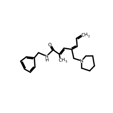 C=C/C=C(\C=C(/C)C(=O)NCc1ccccc1)CN1CCCCC1